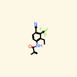 C=C(C)C(=O)Nc1ccc(C#N)c(C(F)(F)F)c1CC